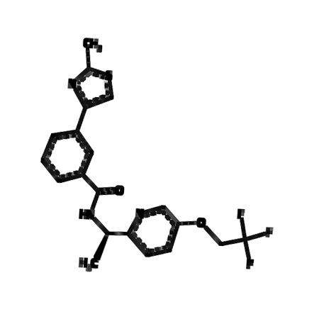 Cc1nc(-c2cccc(C(=O)N[C@H](C)c3ccc(OCC(F)(F)F)cn3)c2)cs1